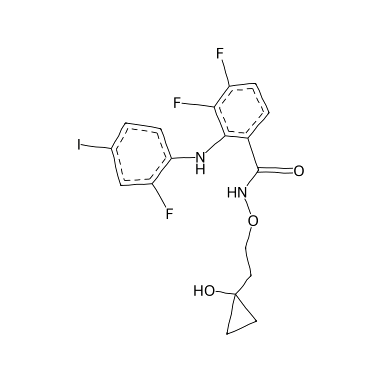 O=C(NOCCC1(O)CC1)c1ccc(F)c(F)c1Nc1ccc(I)cc1F